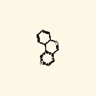 C1=CC2N=Cc3ccncc3C2C=C1